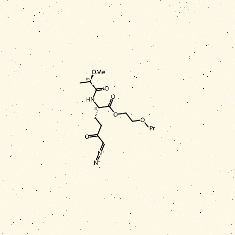 CO[C@H](C)C(=O)N[C@@H](CCC(=O)C=[N+]=[N-])C(=O)OCCOC(C)C